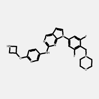 Fc1cc(-n2ccc3cnc(Nc4ccc(OC5CNC5)nc4)nc32)cc(F)c1CN1CCOCC1